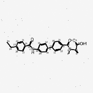 C=C(C(=O)O)N(C)C(=O)c1ccc(-c2ccc(NC(=O)c3ccc(CC)cc3)cc2)cc1